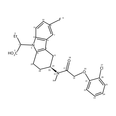 CCC(C(=O)O)n1c2c(c3cc(F)ccc31)C[C@@H](N(C)C(=O)COc1ccccc1Cl)CC2